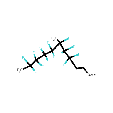 COCCC(F)(F)C(F)(F)C(F)(C(F)(F)F)C(F)(F)C(F)(F)C(F)(F)C(F)(F)C(F)(F)F